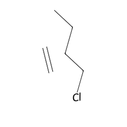 C=C.CCCCCl